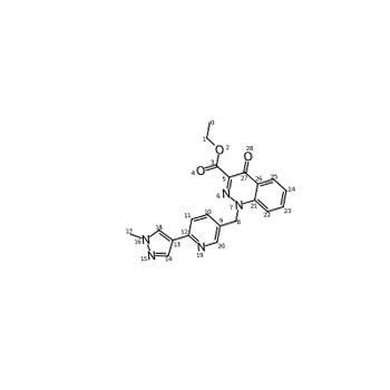 CCOC(=O)c1nn(Cc2ccc(-c3cnn(C)c3)nc2)c2ccccc2c1=O